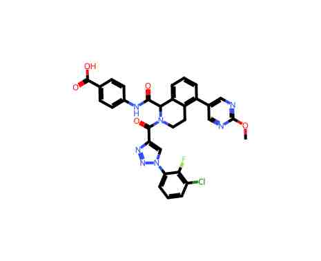 COc1ncc(-c2cccc3c2CCN(C(=O)c2cn(-c4cccc(Cl)c4F)nn2)C3C(=O)Nc2ccc(C(=O)O)cc2)cn1